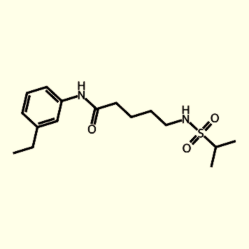 CCc1cccc(NC(=O)CCCCNS(=O)(=O)C(C)C)c1